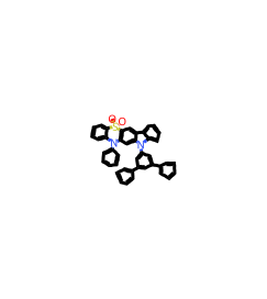 O=S1(=O)c2ccccc2N(c2ccccc2)c2cc3c(cc21)c1ccccc1n3-c1cc(-c2ccccc2)cc(-c2ccccc2)c1